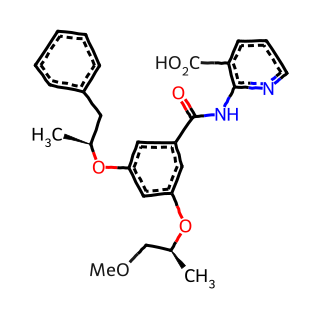 COC[C@H](C)Oc1cc(O[C@@H](C)Cc2ccccc2)cc(C(=O)Nc2ncccc2C(=O)O)c1